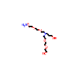 NOCCOCCOCCN(CCCO)CCOCCOCCO